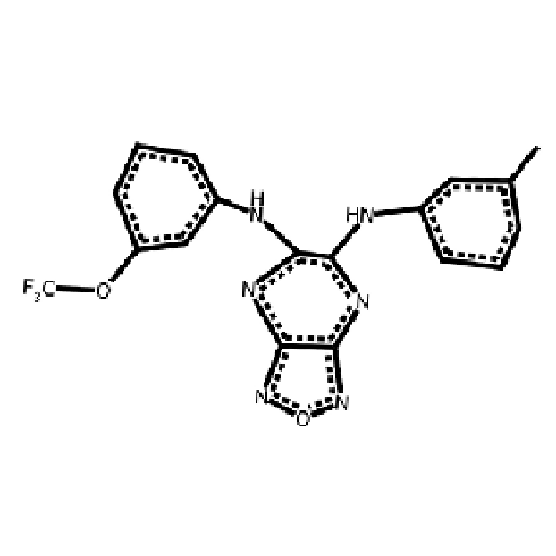 Cc1cccc(Nc2nc3nonc3nc2Nc2cccc(OC(F)(F)F)c2)c1